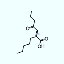 CCCCC/C(=C\C(=O)CCC)C(=O)O